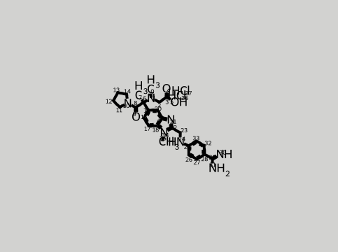 CN(CC(=O)O)C(C)(C(=O)N1CCCC1)c1ccc2c(c1)nc(CNc1ccc(C(=N)N)cc1)n2C.Cl.Cl